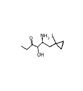 CCC(=O)C(O)[C@@H](N)CC1(I)CC1